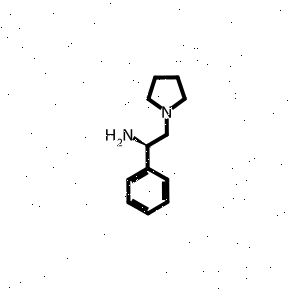 N[C@@H](CN1CCCC1)c1ccccc1